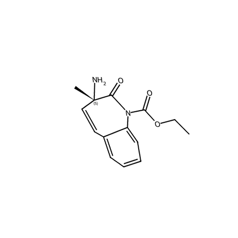 CCOC(=O)N1C(=O)[C@@](C)(N)C=Cc2ccccc21